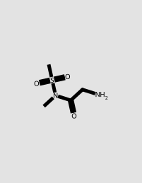 CN(C(=O)CN)S(C)(=O)=O